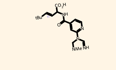 CNCN(C=N)c1cc(C(=O)NC(/C=C/C(C)(C)C)C(=O)O)ccn1